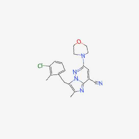 Cc1nc2c(C#N)cc(N3CCOCC3)nn2c1Cc1cccc(Cl)c1C